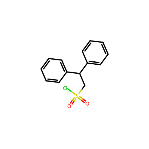 O=S(=O)(Cl)CC(c1ccccc1)c1ccccc1